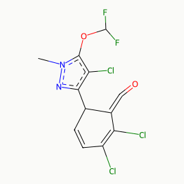 Cn1nc(C2C=CC(Cl)=C(Cl)C2=C=O)c(Cl)c1OC(F)F